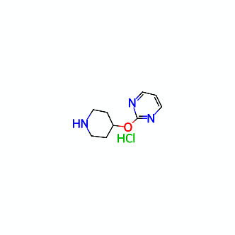 Cl.c1cnc(OC2CCNCC2)nc1